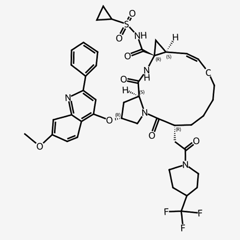 COc1ccc2c(O[C@@H]3C[C@H]4C(=O)N[C@]5(C(=O)NS(=O)(=O)C6CC6)C[C@H]5C=CCCCCC[C@H](CC(=O)N5CCC(C(F)(F)F)CC5)C(=O)N4C3)cc(-c3ccccc3)nc2c1